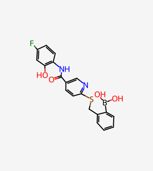 O=C(Nc1ccc(F)cc1O)c1ccc(SCc2ccccc2B(O)O)nc1